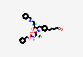 CC(C)[C@H](NC(=O)OCc1ccccc1)C(=O)NC(Cc1ccc(CCCC=C=O)cc1)C(=O)C(F)(F)CNCc1ccccc1